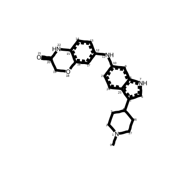 CN1CCC(c2c[nH]c3cc(Nc4ccc5c(c4)OCC(=O)N5)ccc23)CC1